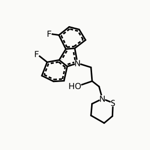 OC(CN1CCCCS1)Cn1c2cccc(F)c2c2c(F)cccc21